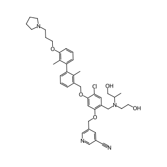 Cc1c(COc2cc(OCc3cncc(C#N)c3)c(CN(CCO)C(C)CO)cc2Cl)cccc1-c1cccc(OCCCN2CCCC2)c1C